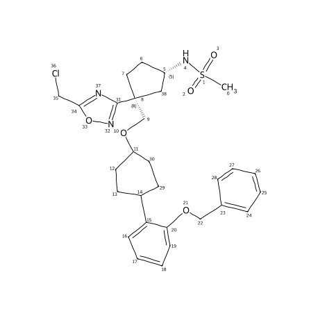 CS(=O)(=O)N[C@H]1CC[C@](COC2CCC(c3ccccc3OCc3ccccc3)CC2)(c2noc(CCl)n2)C1